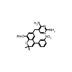 COc1cc(Cc2cnc(N)nc2N)cc2c1OC(C)(C)C=C2c1cccc([N+](=O)[O-])c1